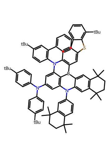 CC(C)(C)c1ccc(N(c2ccc(C(C)(C)C)cc2)c2cc3c4c(c2)N(c2ccc(C(C)(C)C)cc2-c2ccccc2)c2cc5c(cc2B4c2cc4c(cc2N3c2ccc3c(c2)C(C)(C)CCC3(C)C)C(C)(C)CCC4(C)C)sc2c(C(C)(C)C)cccc25)cc1